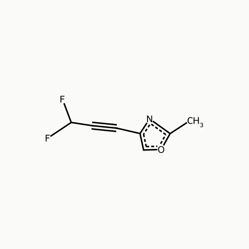 Cc1nc(C#CC(F)F)co1